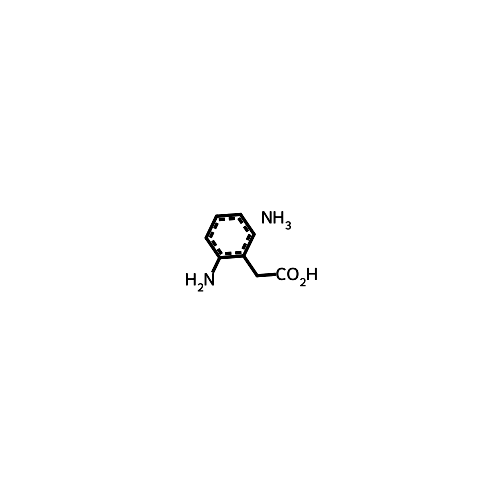 N.Nc1ccccc1CC(=O)O